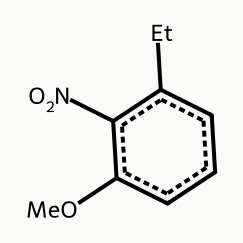 CCc1cccc(OC)c1[N+](=O)[O-]